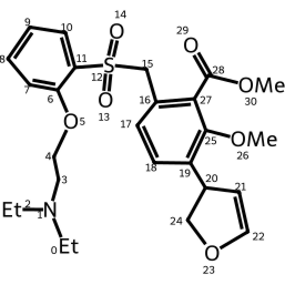 CCN(CC)CCOc1ccccc1S(=O)(=O)Cc1ccc(C2C=COC2)c(OC)c1C(=O)OC